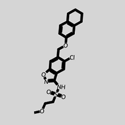 COCCS(=O)(=O)Nc1noc2cc(COc3ccc4c(c3)CCCC4)c(Cl)cc12